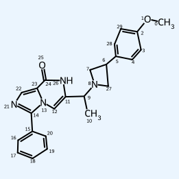 COc1ccc(C2CN(C(C)c3cn4c(-c5ccccc5)ncc4c(=O)[nH]3)C2)cc1